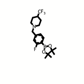 CC1(C)OB(c2ccc(CN3CCC(C(F)(F)F)CC3)cc2F)OC1(C)C